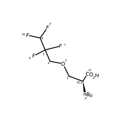 CCCC[C@@H](COCC(F)(F)C(F)F)C(=O)O